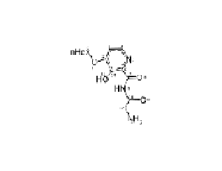 CCCCCCOc1ccnc(C(=O)NC(=O)CN)c1O